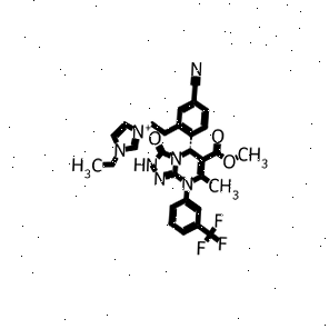 CCn1cc[n+](CCc2cc(C#N)ccc2[C@@H]2C(C(=O)OC)=C(C)N(c3cccc(C(F)(F)F)c3)c3n[nH]c(=O)n32)c1